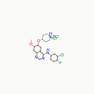 COc1cc2ncnc(Nc3ccc(F)c(Cl)c3)c2cc1OC1CCNCC1.Cl.Cl